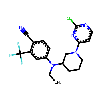 CCN(c1ccc(C#N)c(C(F)(F)F)c1)C1CCCN(c2ccnc(Cl)n2)C1